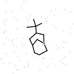 CC(C)(C)C1CC2CCCN(C2)C1